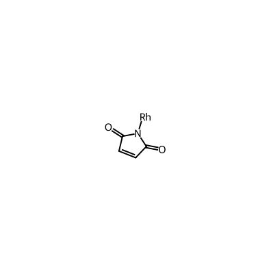 O=C1C=CC(=O)[N]1[Rh]